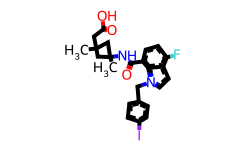 CC1(CC(=O)O)CC(C)(NC(=O)c2ccc(F)c3ccn(Cc4ccc(I)cc4)c23)C1